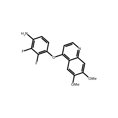 COc1cc2nccc(Oc3ccc(N)c(F)c3F)c2cc1OC